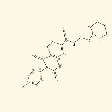 O=C(NCCN1CCCCC1)c1ccc2c(=O)n(-c3ccc(F)cc3)c(=O)[nH]c2c1